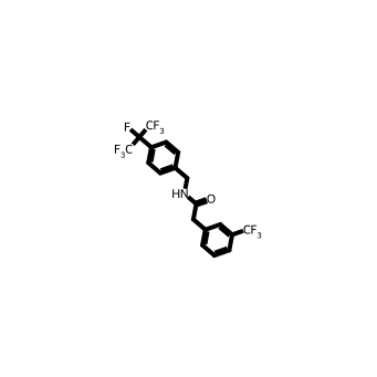 O=C(Cc1cccc(C(F)(F)F)c1)NCc1ccc(C(F)(C(F)(F)F)C(F)(F)F)cc1